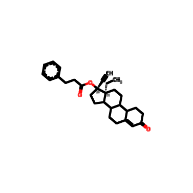 C#C[C@]1(OC(=O)CCc2ccccc2)CCC2C3CCC4=CC(=O)CCC4C3CC[C@@]21CC